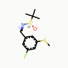 CSc1cc(F)cc(/C=N\[S@+]([O-])C(C)(C)C)c1